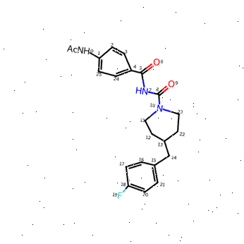 CC(=O)Nc1ccc(C(=O)NC(=O)N2CCC(Cc3ccc(F)cc3)CC2)cc1